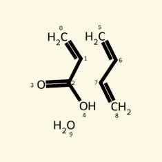 C=CC(=O)O.C=CC=C.O